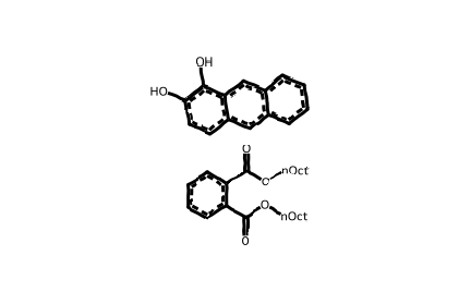 CCCCCCCCOC(=O)c1ccccc1C(=O)OCCCCCCCC.Oc1ccc2cc3ccccc3cc2c1O